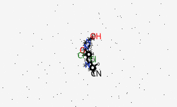 Cc1cc(C#N)cc2c1cc(Cc1c(Cl)ccc(C(=O)N3CCN(CCO)CC3)c1Cl)n2C